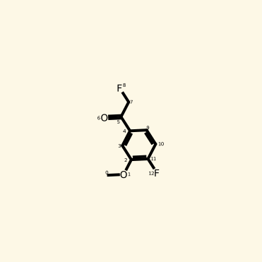 COc1cc(C(=O)CF)ccc1F